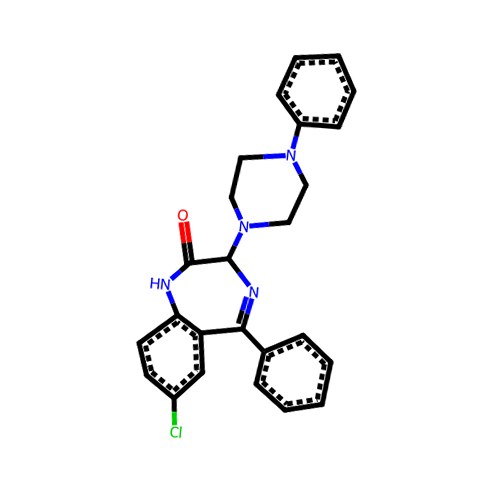 O=C1Nc2ccc(Cl)cc2C(c2ccccc2)=NC1N1CCN(c2ccccc2)CC1